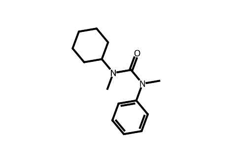 CN(C(=O)N(C)C1CCCCC1)c1ccccc1